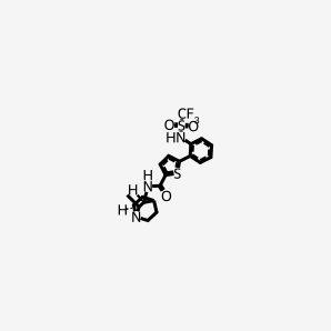 C[C@H]1[C@H](NC(=O)c2ccc(-c3ccccc3NS(=O)(=O)C(F)(F)F)s2)C2CCN1CC2